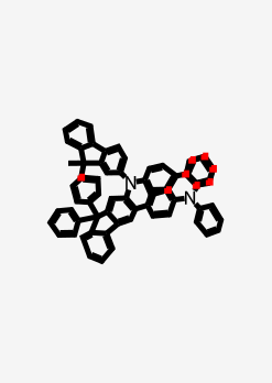 CC1(C)c2ccccc2-c2ccc(N(c3ccc(-c4ccccc4)cc3)c3cc4c(cc3-c3ccc(N(c5ccccc5)c5ccccc5)cc3)-c3ccccc3C4(c3ccccc3)c3ccccc3)cc21